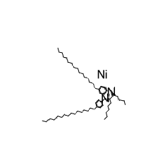 CCCCCCCCCCCCCCCCc1ccc(N=C(CCCC)C(CCCCCC)=Nc2ccc(CCCCCCCCCCCCCCCC)cc2)cc1.[Ni]